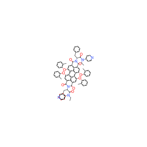 CCN(C(=O)C(Cc1ccccc1)N1C(=O)c2cc(Oc3ccccc3C)c3c4c(Oc5ccccc5C)cc5c6c(cc(Oc7ccccc7C)c(c7c(Oc8ccccc8C)cc(c2c37)C1=O)c64)C(=O)N(C(Cc1ccccc1)C(=O)N(CC)c1ccncc1)C5=O)c1ccncc1